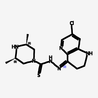 C[C@@H]1CN(C(=S)N/N=C2/CCNc3cc(Cl)cnc32)C[C@H](C)N1